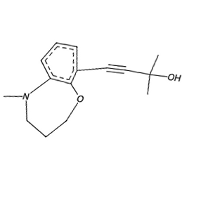 CN1CCCOc2c(C#CC(C)(C)O)cccc21